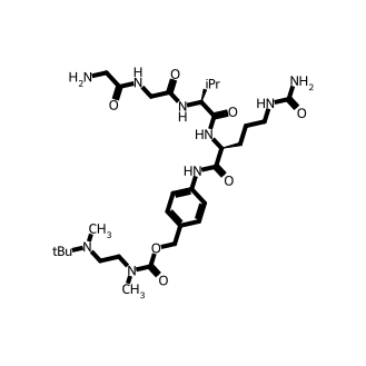 CC(C)[C@H](NC(=O)CNC(=O)CN)C(=O)N[C@@H](CCCNC(N)=O)C(=O)Nc1ccc(COC(=O)N(C)CCN(C)C(C)(C)C)cc1